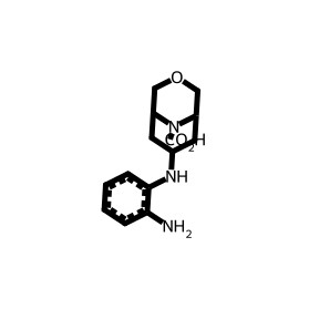 Nc1ccccc1NC1CC2COCC(C1)N2C(=O)O